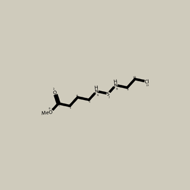 COC(=O)CCCNSNCCCl